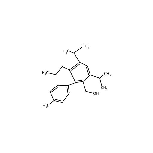 CCCc1c(C(C)C)cc(C(C)C)c(CO)c1-c1ccc(C)cc1